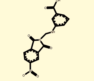 O=C(O)c1cccc(NCN2C(=O)c3ccc([N+](=O)[O-])cc3C2=O)c1